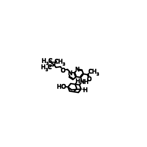 CC(=O)c1cnc2c(ccn2COCC[Si](C)(C)C)c1NC1[C@@H]2CC3C[C@H]1CC(O)(C3)C2